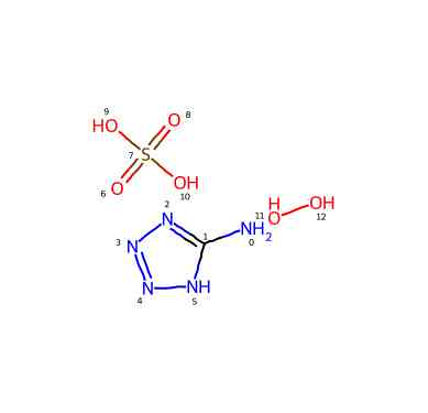 Nc1nnn[nH]1.O=S(=O)(O)O.OO